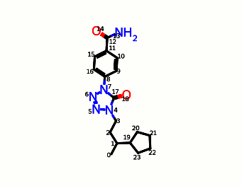 CC(CCn1nnn(-c2ccc(C(N)=O)cc2)c1=O)C1CCCC1